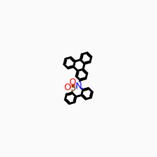 O=S1(=O)c2ccccc2-c2ccccc2N1c1ccc2c3ccccc3c3ccccc3c2c1